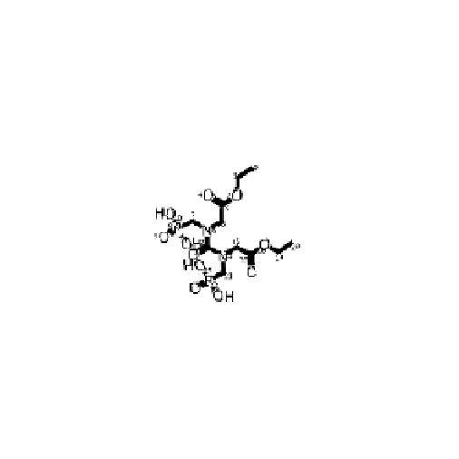 CCOC(=O)CN(CP(=O)(O)O)C(=O)N(CC(=O)OCC)CP(=O)(O)O